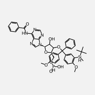 COc1ccc(C(OC2C(O)[C@H](n3cnc4c(NC(=O)c5ccccc5)ncnc43)O[C@@H]2CO[PH](=O)O)(c2ccccc2)c2ccc(OC)c([SiH](C)C(C)(C)C)c2)cc1